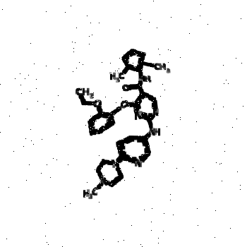 CCOc1ccccc1Oc1nc(Nc2ccc(N3CCN(C)CC3)nc2)ncc1C(=O)Nc1c(C)cccc1C